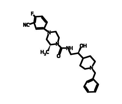 C[C@@H]1CN(c2ccc(F)c(C#N)c2)CCN1C(=O)NC[C@@H](O)C1CCN(Cc2ccccc2)CC1